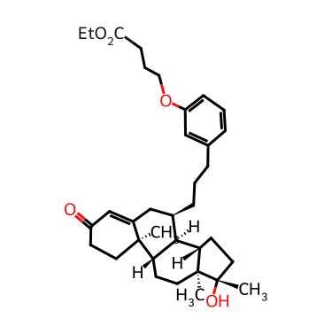 CCOC(=O)CCCOc1cccc(CCC[C@@H]2CC3=CC(=O)CC[C@]3(C)[C@H]3CC[C@@]4(C)[C@@H](CC[C@]4(C)O)[C@H]23)c1